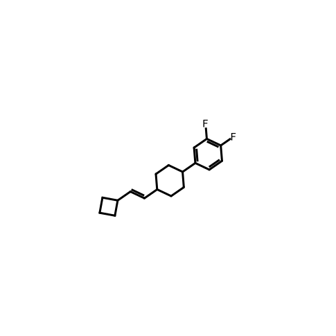 Fc1ccc(C2CCC(C=CC3CCC3)CC2)cc1F